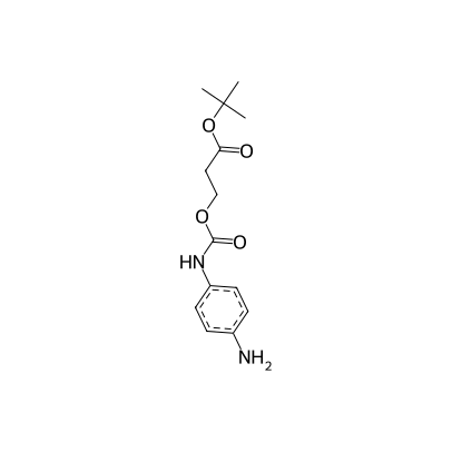 CC(C)(C)OC(=O)CCOC(=O)Nc1ccc(N)cc1